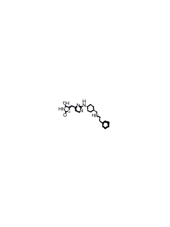 O=C1NC(O)/C(=C/c2ccnc(N[C@H]3CC[C@H](CNCCc4ccccc4)CC3)n2)S1